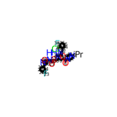 CC(C)N1CCN(C(=O)CC[C@@H](COC(=O)Nc2cc(-c3cccc(F)c3)no2)N(C)C(=O)NCc2cccc(F)c2Cl)CC1